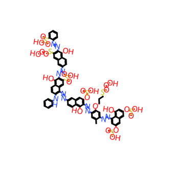 Cc1cc(N=Nc2c(OS(=O)O)cc3cc(N=Nc4c(Nc5ccccc5)ccc5c(O)c(N=Nc6ccc7c(O)c(N=Nc8ccccc8S(=O)(=O)O)c(SOOO)cc7c6)c(S(=O)(=O)O)cc45)ccc3c2O)c(OCCCSOOO)cc1N=Nc1cc(OS(=O)O)cc2cc(OS(=O)O)cc(O)c12